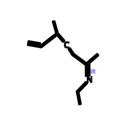 C=CC(C)CC/C(C)=N\CC